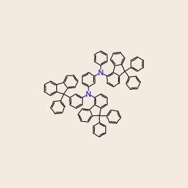 c1ccc(N(c2cccc(N(c3cccc(C4(c5ccccc5)c5ccccc5-c5ccccc54)c3)c3cccc4c3-c3ccccc3C4(c3ccccc3)c3ccccc3)c2)c2cccc3c2-c2ccccc2C3(c2ccccc2)c2ccccc2)cc1